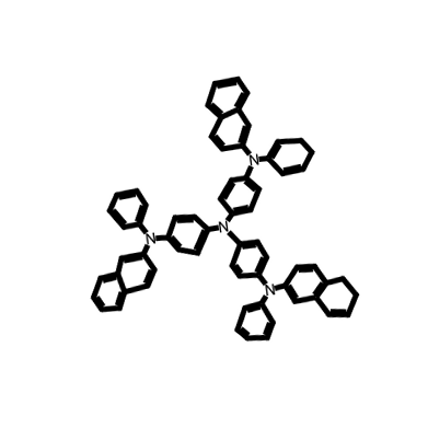 C1=CC(N(c2ccc(N(c3ccc(N(c4ccccc4)c4ccc5c(c4)C=CCC5)cc3)c3ccc(N(c4ccccc4)c4ccc5ccccc5c4)cc3)cc2)c2ccc3ccccc3c2)=CCC1